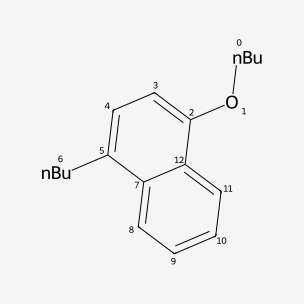 CCCCOc1ccc(CCCC)c2ccccc12